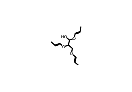 CC=COCC(OC=CC)C(O)OC=CC